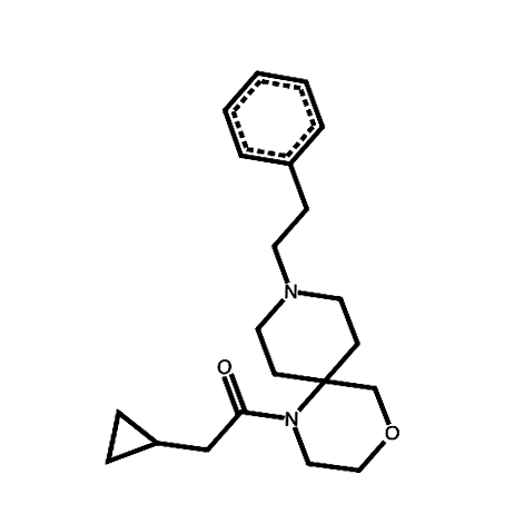 O=C(CC1CC1)N1CCOCC12CCN(CCc1ccccc1)CC2